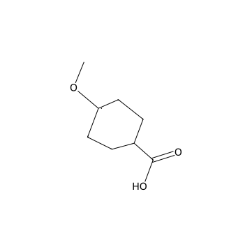 CO[C]1CCC(C(=O)O)CC1